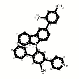 Cc1ccc(-c2ccc3c(c2)c2ccccc2n3-c2cc(-c3ccncc3)c(C#N)cc2-c2ccccc2)c(C)c1